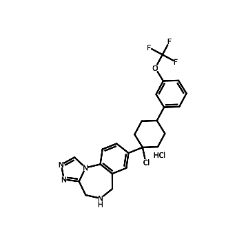 Cl.FC(F)(F)Oc1cccc(C2CCC(Cl)(c3ccc4c(c3)CNCc3nncn3-4)CC2)c1